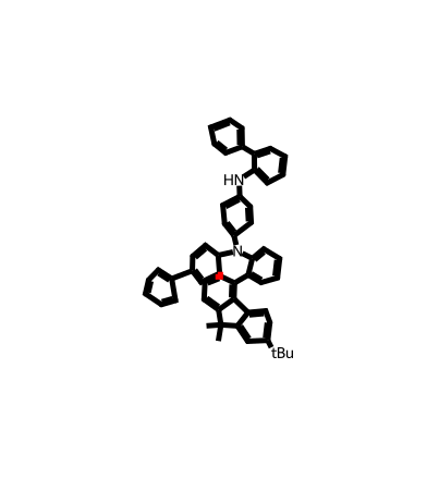 CC(C)(C)c1ccc2c(c1)C(C)(C)c1cccc(-c3ccccc3N(c3ccc(Nc4ccccc4-c4ccccc4)cc3)C3C=CC(c4ccccc4)=CC3)c1-2